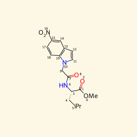 COC(=O)[C@H](CC(C)C)NC(=O)Cn1ccc2cc([N+](=O)[O-])ccc21